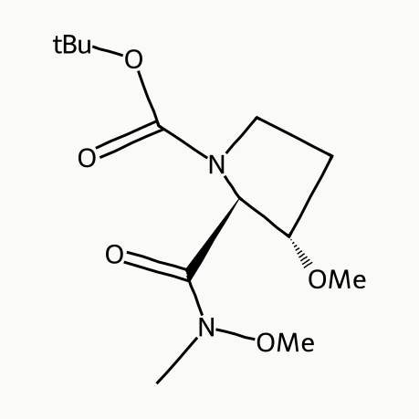 CO[C@H]1CCN(C(=O)OC(C)(C)C)[C@@H]1C(=O)N(C)OC